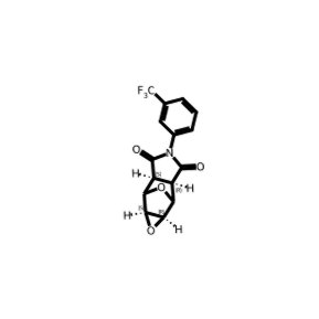 O=C1[C@@H]2C3OC([C@H]4O[C@@H]34)[C@@H]2C(=O)N1c1cccc(C(F)(F)F)c1